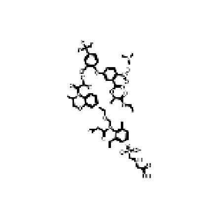 CC1COc2ccccc2N1C(=O)C(Cl)Cl.CCOC(=O)C(C)OC(=O)c1cc(Oc2ccc(C(F)(F)F)cc2Cl)ccc1[N+](=O)[O-].CCOCN(C(=O)CCl)c1c(C)cccc1CC.C[S+](C)C.O=C(O)CNCP(=O)([O-])O